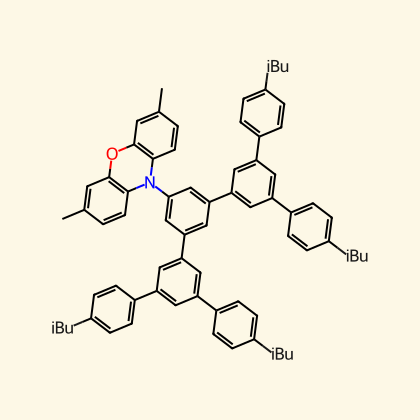 CCC(C)c1ccc(-c2cc(-c3ccc(C(C)CC)cc3)cc(-c3cc(-c4cc(-c5ccc(C(C)CC)cc5)cc(-c5ccc(C(C)CC)cc5)c4)cc(N4c5ccc(C)cc5Oc5cc(C)ccc54)c3)c2)cc1